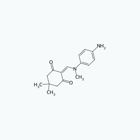 CN(C=C1C(=O)CC(C)(C)CC1=O)c1ccc(N)cc1